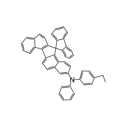 CCc1ccc(N(c2ccccc2)c2ccc3c4c(ccc3c2)-c2c(ccc3ccccc23)C42c3ccccc3-c3ccccc32)cc1